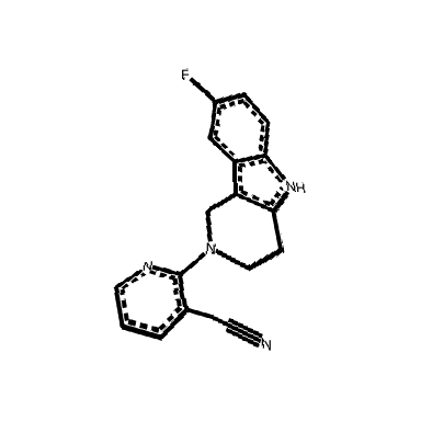 N#Cc1cccnc1N1CCc2[nH]c3ccc(F)cc3c2C1